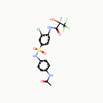 CC(=O)Nc1ccc(NS(=O)(=O)c2ccc(NC(=O)[C@@](C)(O)C(F)(F)F)c(Cl)c2)cc1